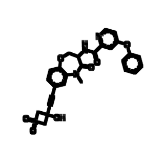 CN1C(=O)C(NC(=O)c2cc(Oc3ccccc3)ccn2)COc2ccc(C#CC3(O)CS(=O)(=O)C3)cc21